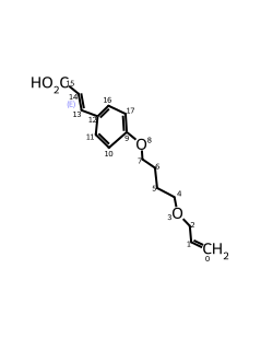 C=CCOCCCCOc1ccc(/C=C/C(=O)O)cc1